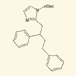 CCCCCCCCCCn1ccnc1CC(CCc1ccccc1)c1ccccc1